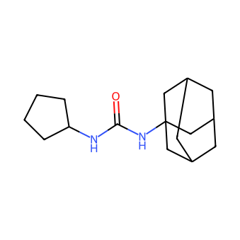 O=C(NC1CCCC1)NC12CC3CC(CC(C3)C1)C2